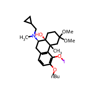 CCCCOc1ccc2c(c1OI)C1(C)CC(OC)(OC)CC[C@@]1(O)[C@H](N(C)CC1CC1)C2